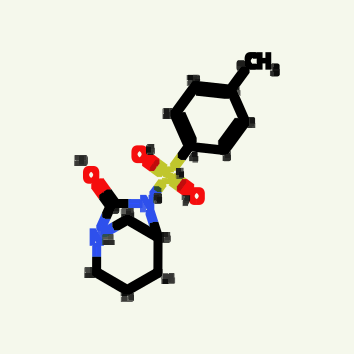 Cc1ccc(S(=O)(=O)N2C(=O)N3CCCC2C3)cc1